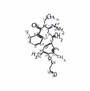 C=C(S/C(=N\N)N(CC)C(=O)c1ccccc1F)c1cc(C)c(OCC=O)c(C)c1